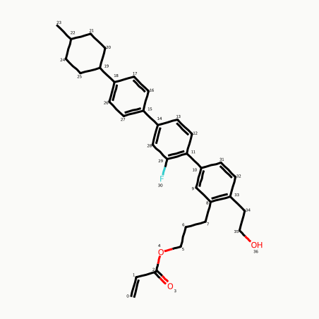 C=CC(=O)OCCCc1cc(-c2ccc(-c3ccc(C4CCC(C)CC4)cc3)cc2F)ccc1CCO